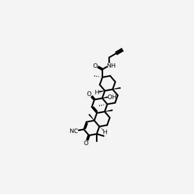 C#CCNC(=O)[C@@]1(C)CC[C@]2(C)CC[C@@]3(C)[C@]4(C)CC[C@H]5C(C)(C)C(=O)C(C#N)=C[C@]5(C)C4=CC(=O)[C@]3(O)[C@@H]2C1